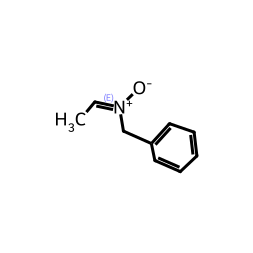 C/C=[N+](/[O-])Cc1ccccc1